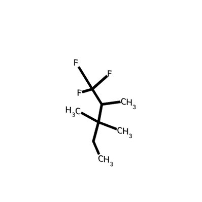 CCC(C)(C)C(C)C(F)(F)F